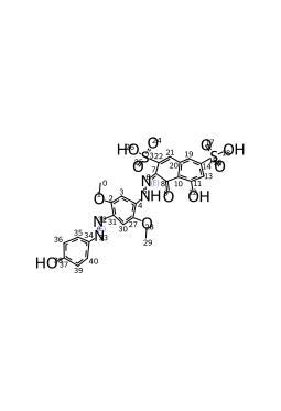 COc1cc(N/N=C2\C(=O)c3c(O)cc(S(=O)(=O)O)cc3C=C2S(=O)(=O)O)c(OC)cc1/N=N/c1ccc(O)cc1